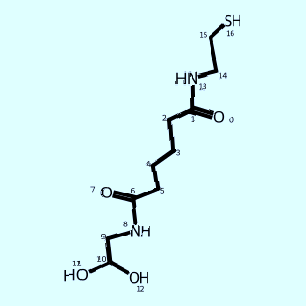 O=C(CCCCC(=O)NCC(O)O)NCCS